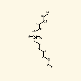 CCCCCCCC[Si](C)(C)CCCCCC